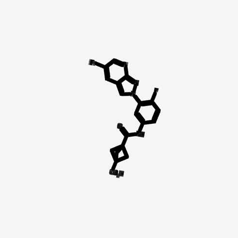 CC(C)c1cnc2nn(-c3cc(NC(=O)C45CC(C(=O)O)(C4)C5)ccc3F)cc2c1